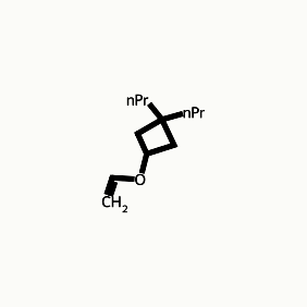 C=COC1CC(CCC)(CCC)C1